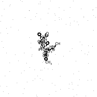 C#CCNC(=O)CCC(=O)OC(C)(COS(=O)(=O)c1ccc(C)cc1)C(=O)[C@H](CC(C)C)NC(=O)[C@H](Cc1ccccc1)NC(=O)[C@H](CC(C)C)NC(=O)[C@H](CCc1ccccc1)NC(=O)CN1CCOCC1